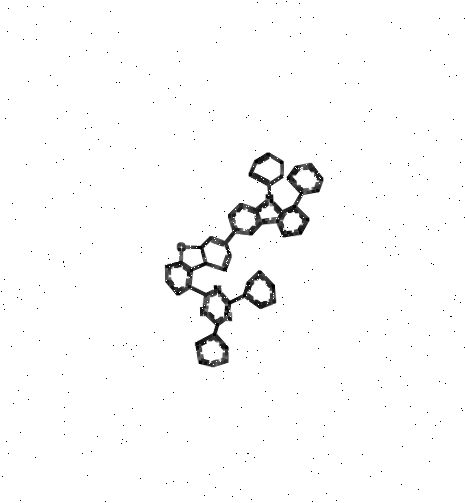 C1=CCCC(n2c3ccc(C4=CC5Oc6cccc(-c7nc(-c8ccccc8)nc(-c8ccccc8)n7)c6C5C=C4)cc3c3cccc(-c4ccccc4)c32)=C1